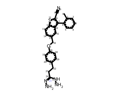 Cc1ccccc1-c1c(C#N)sc2ccc(COc3ccc(CC/C(=N/N)NN)cc3)cc12